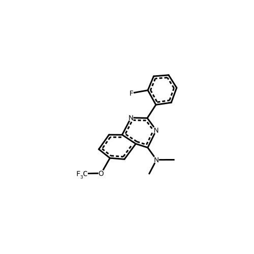 CN(C)c1nc(-c2ccccc2F)nc2ccc(OC(F)(F)F)cc12